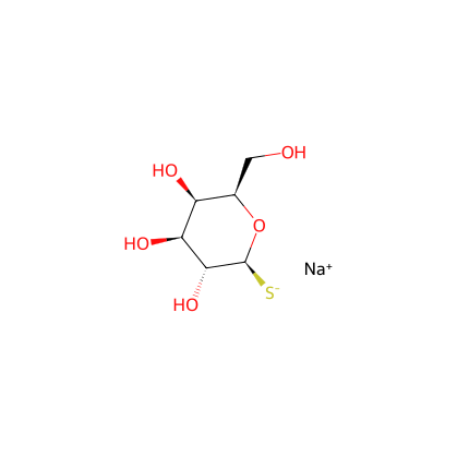 OC[C@H]1O[C@@H]([S-])[C@H](O)[C@@H](O)[C@H]1O.[Na+]